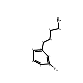 Fc1cccc(CCCCBr)c1